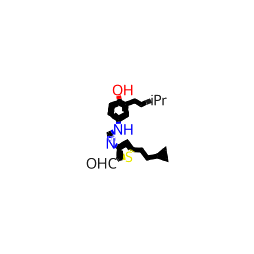 CC(C)CCc1cc(N/C=N\c2cc(CCC3CC3)sc2C=O)ccc1O